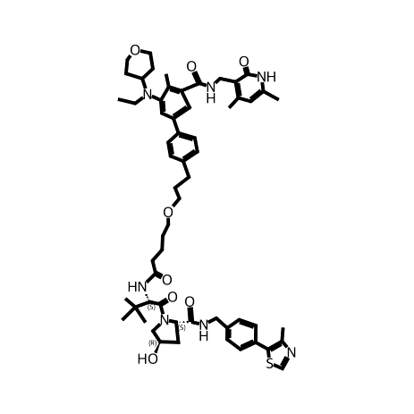 CCN(c1cc(-c2ccc(CCCOCCCCC(=O)N[C@H](C(=O)N3C[C@H](O)C[C@H]3C(=O)NCc3ccc(-c4scnc4C)cc3)C(C)(C)C)cc2)cc(C(=O)NCc2c(C)cc(C)[nH]c2=O)c1C)C1CCOCC1